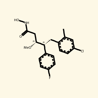 CO[C@H](CC(=O)NO)[C@H](Cc1ccc(Cl)cc1C)c1ccc(F)cc1